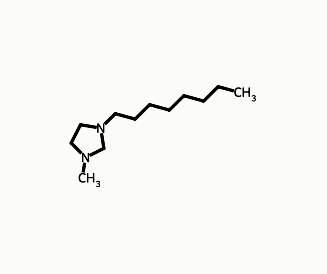 CCCCCCCCN1CCN(C)C1